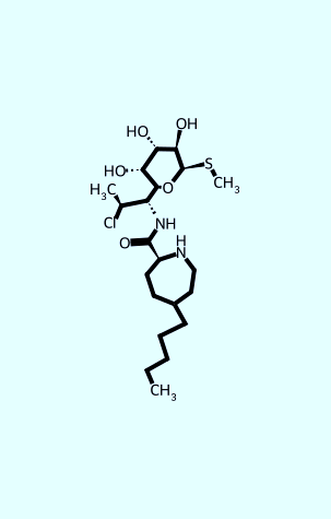 CCCCCC1CCN[C@H](C(=O)N[C@@H]([C@H]2O[C@H](SC)[C@H](O)[C@@H](O)[C@H]2O)[C@H](C)Cl)CC1